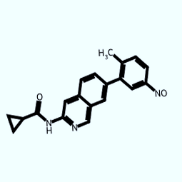 Cc1ccc(N=O)cc1-c1ccc2cc(NC(=O)C3CC3)ncc2c1